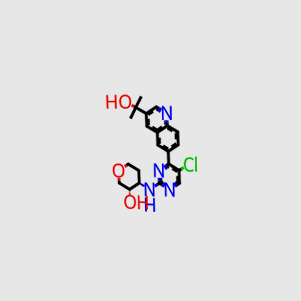 CC(C)(O)c1cnc2ccc(-c3nc(N[C@@H]4CCOC[C@H]4O)ncc3Cl)cc2c1